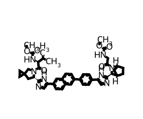 COC(=O)NCC(=O)N1[C@@H]2CC[C@@H](C2)[C@H]1c1ncc(-c2ccc(-c3ccc4cc(-c5cnc([C@@H]6CC7(CC7)CN6C(=O)[C@@H](NC(=O)OC)C(C)C)[nH]5)ccc4c3)cc2)[nH]1